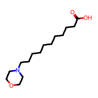 O=C(O)CCCCCCCCCCN1CCOCC1